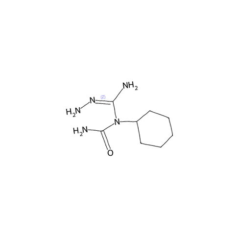 N/N=C(/N)N(C(N)=O)C1CCCCC1